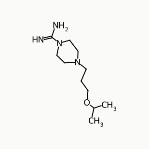 CC(C)OCCCN1CCN(C(=N)N)CC1